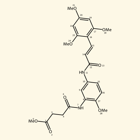 COC(=O)CCC(=O)Nc1cc(NC(=O)/C=C/c2c(OC)cc(OC)cc2OC)ccc1OC